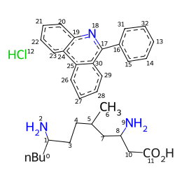 CCCCC(N)CCC(C)CC(N)CC(=O)O.Cl.c1ccc(-c2nc3ccccc3c3ccccc23)cc1